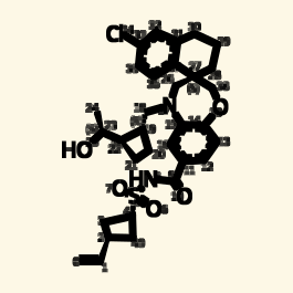 C=C[C@H]1C[C@H](S(=O)(=O)NC(=O)c2ccc3c(c2)N(C[C@@H]2CC[C@H]2[C@H](C)O)C[C@@]2(CCCc4cc(Cl)ccc42)CO3)C1